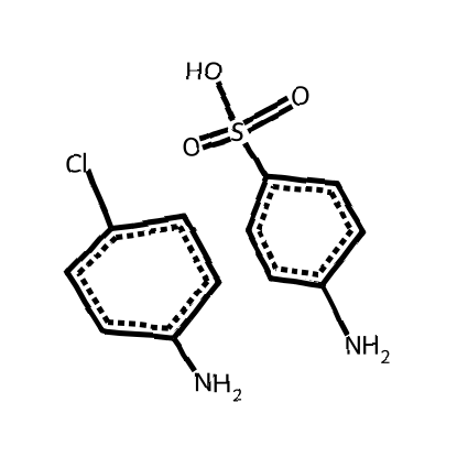 Nc1ccc(Cl)cc1.Nc1ccc(S(=O)(=O)O)cc1